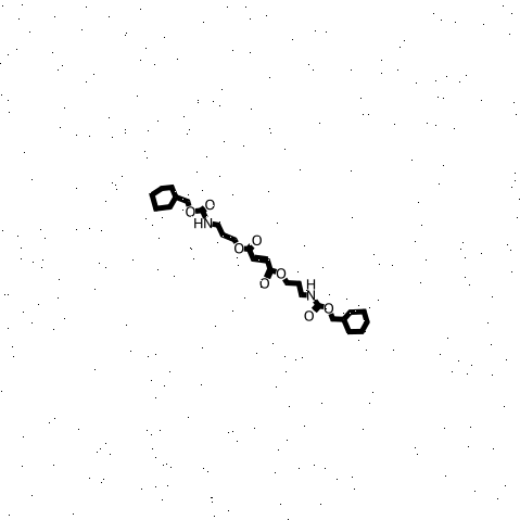 O=C(/C=C/C(=O)OCCCNC(=O)OCC1CCCCC1)OCCCNC(=O)OCC1CCCCC1